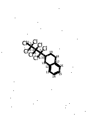 ClC(Cl)(Cl)C(Cl)(Cl)C(Cl)(Cl)C1[CH]c2ccccc2CC1